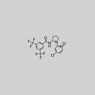 O=C(NC1CCCN1c1cc(Cl)cc[n+]1[O-])c1cc(C(F)(F)F)cc(C(F)(F)F)c1